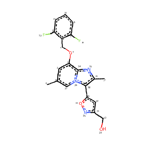 Cc1cc(OCc2c(F)cccc2F)c2nc(C)c(-c3cc(CO)no3)n2c1